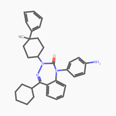 N#CC1(c2ccccc2)CCC(N2N=C(C3CCCCC3)c3ccccc3N(c3ccc(N)cc3)C2=O)CC1